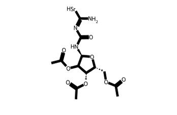 CC(=O)OC[C@H]1O[C@H](NC(=O)/N=[C](\N)[SrH])C(OC(C)=O)[C@H]1OC(C)=O